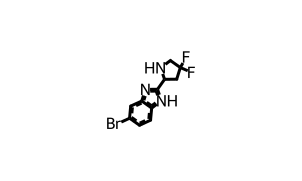 FC1(F)CNC(c2nc3cc(Br)ccc3[nH]2)C1